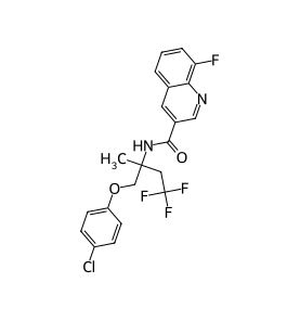 CC(COc1ccc(Cl)cc1)(CC(F)(F)F)NC(=O)c1cnc2c(F)cccc2c1